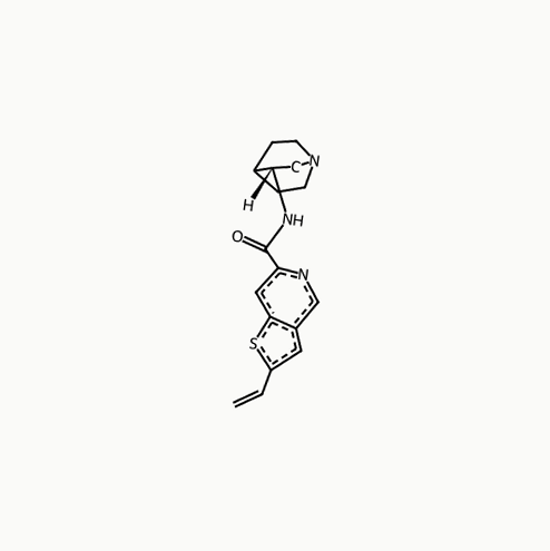 C=Cc1cc2cnc(C(=O)N[C@H]3CN4CCC3CC4)cc2s1